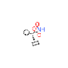 C#CC(c1ccccc1)C1OC(=O)NC1=O.c1cc2ccc1-2